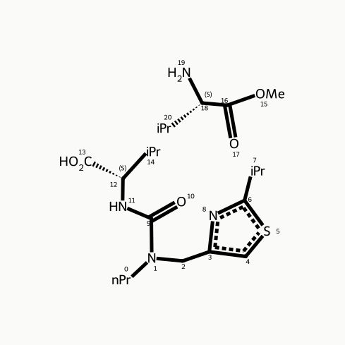 CCCN(Cc1csc(C(C)C)n1)C(=O)N[C@H](C(=O)O)C(C)C.COC(=O)[C@@H](N)C(C)C